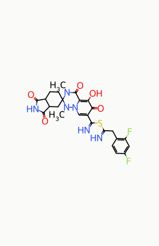 CN1C(=O)c2c(O)c(=O)c(C(=N)SC(=N)Cc3ccc(F)cc3F)cn2N(C)C12CCC1C(=O)NC(=O)C1C2